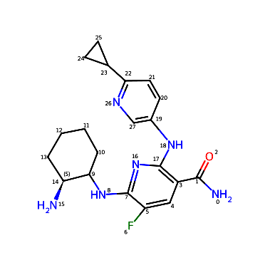 NC(=O)c1cc(F)c(NC2CCCC[C@@H]2N)nc1Nc1ccc(C2CC2)nc1